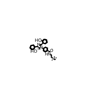 C[N+](C)(C)CCNC(=O)c1ccc(-n2nc(-c3ccccc3O)nc2-c2ccccc2O)cc1